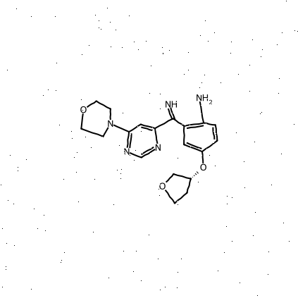 N=C(c1cc(N2CCOCC2)ncn1)c1cc(O[C@@H]2CCOC2)ccc1N